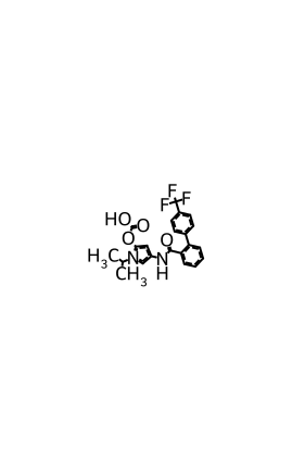 CC(C)n1cc(NC(=O)c2ccccc2-c2ccc(C(F)(F)F)cc2)cc1OC(=O)O